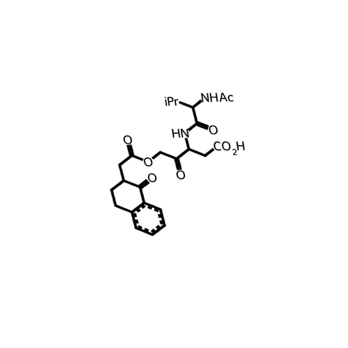 CC(=O)NC(C(=O)NC(CC(=O)O)C(=O)COC(=O)CC1CCc2ccccc2C1=O)C(C)C